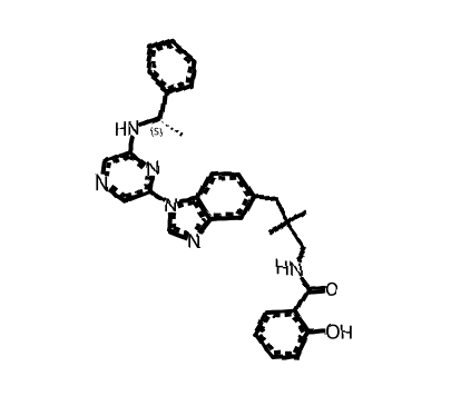 C[C@H](Nc1cncc(-n2cnc3cc(CC(C)(C)CNC(=O)c4ccccc4O)ccc32)n1)c1ccccc1